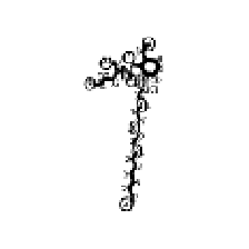 CN(C(=O)c1c(C=O)cccc1OCCOCCOCCOCCC/C=C/C=O)C(C=O)CCC=O